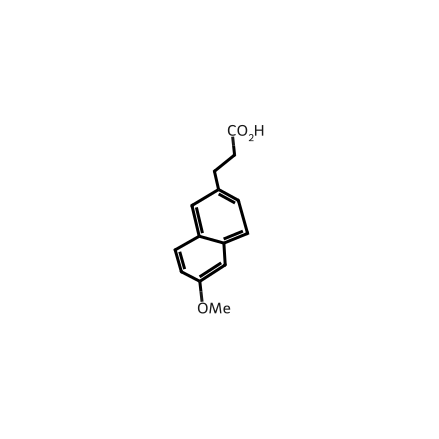 COc1ccc2cc(CCC(=O)O)ccc2c1